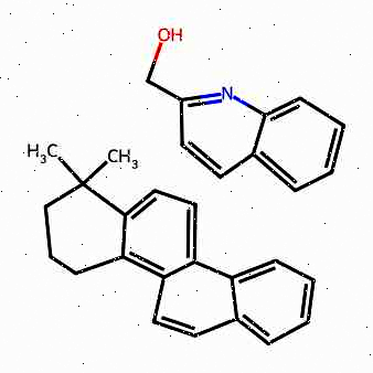 CC1(C)CCCc2c1ccc1c2ccc2ccccc21.OCc1ccc2ccccc2n1